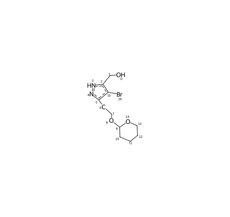 OCc1[nH]nc(CCOC2CCCCO2)c1Br